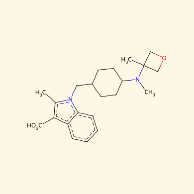 Cc1c(C(=O)O)c2ccccc2n1CC1CCC(N(C)C2(C)COC2)CC1